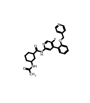 CC(=O)NC1CCCC(C(=O)Nc2cc(-c3ccccc3OCc3ccncc3)c(F)cn2)C1